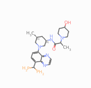 CC(C(=O)N[C@@H]1C[C@H](C)CN(c2ccc(C(P)P)c3nccnc23)C1)N1CCC(O)CC1